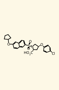 O=C(O)[C@@H]1C[C@H](Oc2ccc(Cl)cc2)CN1S(=O)(=O)c1ccc2cc(OC3CCCC3)ccc2c1